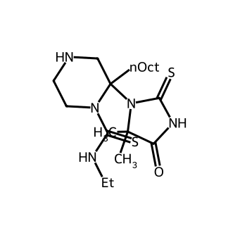 CCCCCCCCC1(N2C(=S)NC(=O)C2(C)C)CNCCN1C(=S)NCC